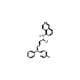 Cc1ccc(/C(=C\C=C\C(=O)Nc2cccc3cnccc23)c2ccccc2)cc1